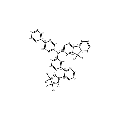 CC1(C)c2ccccc2-c2ccc(N(c3ccc(-c4ccccc4)cc3)c3cccc(-c4ccccc4B4OC(C)(C)C(C)(C)O4)c3)cc21